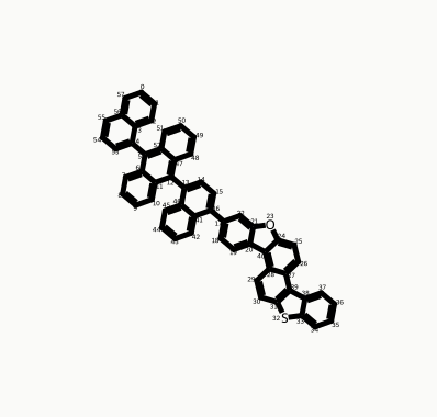 c1ccc2c(-c3c4ccccc4c(-c4ccc(-c5ccc6c(c5)oc5ccc7c(ccc8sc9ccccc9c87)c56)c5ccccc45)c4ccccc34)cccc2c1